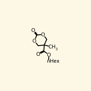 CCCCCCOC(=O)C1(C)COC(=O)OC1